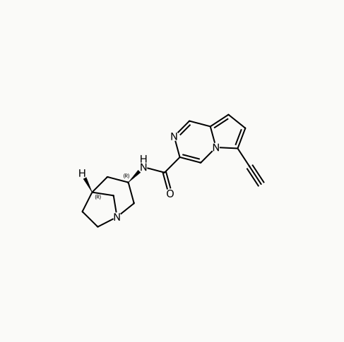 C#Cc1ccc2cnc(C(=O)N[C@@H]3C[C@H]4CCN(C4)C3)cn12